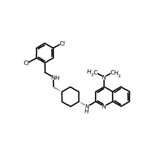 CN(C)c1cc(N[C@H]2CC[C@@H](CNCc3cc(Cl)ccc3Cl)CC2)nc2ccccc12